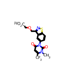 Cn1c(C(F)(F)F)cc(=O)n(-c2ccc3snc(COCC(=O)O)c3c2)c1=O